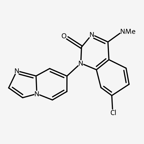 CNc1nc(=O)n(-c2ccn3ccnc3c2)c2cc(Cl)ccc12